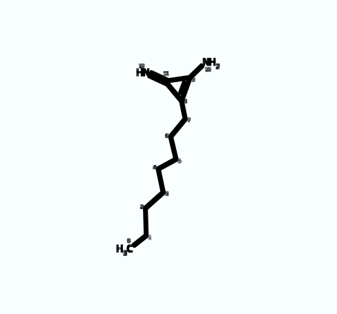 CCCCCCCCc1c(N)c1=N